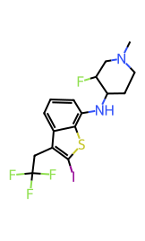 CN1CCC(Nc2cccc3c(CC(F)(F)F)c(I)sc23)C(F)C1